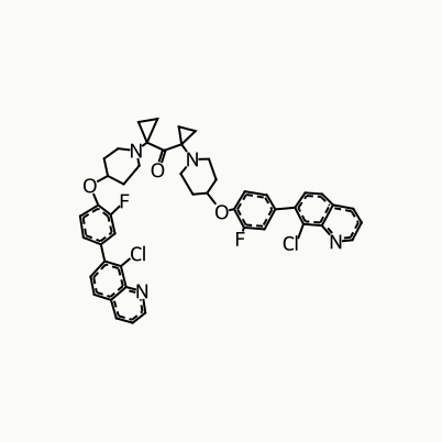 O=C(C1(N2CCC(Oc3ccc(-c4ccc5cccnc5c4Cl)cc3F)CC2)CC1)C1(N2CCC(Oc3ccc(-c4ccc5cccnc5c4Cl)cc3F)CC2)CC1